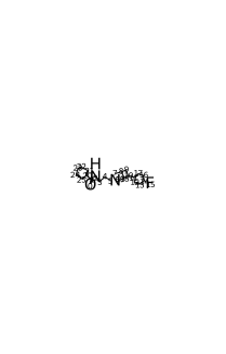 O=C(NCCCN1CC2CC(c3ccc(F)cc3)C2C1)c1ccccc1